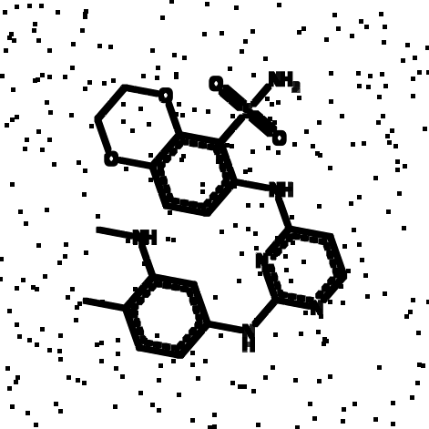 CNc1cc(Nc2nccc(Nc3ccc4c(c3S(N)(=O)=O)OCCO4)n2)ccc1C